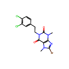 Cn1c(Br)nc2c1c(=O)n(CCc1ccc(Cl)c(Cl)c1)c(=O)n2C